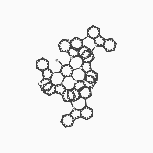 N#Cc1c(-n2c3ccccc3c3ncccc32)c(-n2c3ccccc3c3cc(-n4c5ccccc5c5cccc(-c6ccccc6)c54)ccc32)c(-n2c3ccccc3c3ncccc32)c(-n2c3ccccc3c3cc(-n4c5ccccc5c5cccc(-c6ccccc6)c54)ccc32)c1-n1c2ccccc2c2ncccc21